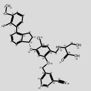 COc1cccc(-c2cccc3c2CC[C@@H]3Oc2cc(OCc3cncc(C#N)c3)c(CNC(CO)C(=O)O)cc2Cl)c1F